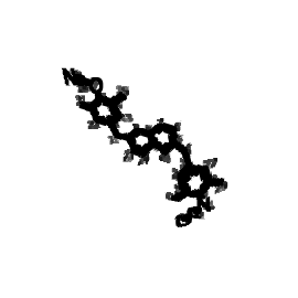 Cc1cc(Cc2ccc3cc(Cc4cc(C)c(OC#N)c(C)c4)ccc3c2)cc(C)c1N=C=O